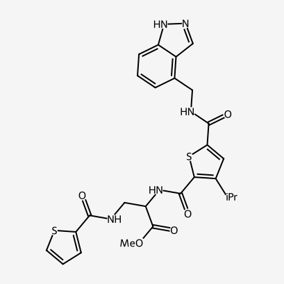 COC(=O)C(CNC(=O)c1cccs1)NC(=O)c1sc(C(=O)NCc2cccc3[nH]ncc23)cc1C(C)C